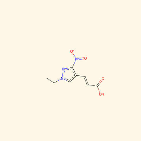 CCn1cc(/C=C/C(=O)O)c([N+](=O)[O-])n1